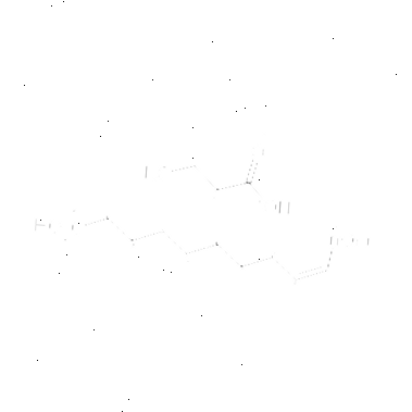 CCCC(=O)O.CCCCCCCC/C=C\CCCCCCCC(=O)O